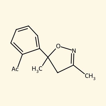 CC(=O)c1ccccc1C1(C)CC(C)=NO1